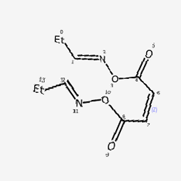 CCC=NOC(=O)/C=C\C(=O)ON=CCC